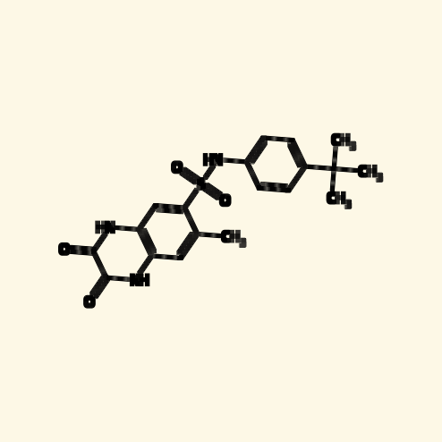 Cc1cc2[nH]c(=O)c(=O)[nH]c2cc1S(=O)(=O)Nc1ccc(C(C)(C)C)cc1